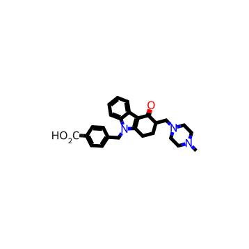 CN1CCN(CC2CCc3c(c4ccccc4n3Cc3ccc(C(=O)O)cc3)C2=O)CC1